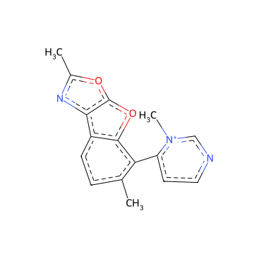 Cc1nc2c(o1)oc1c(-c3ccnc[n+]3C)c(C)ccc12